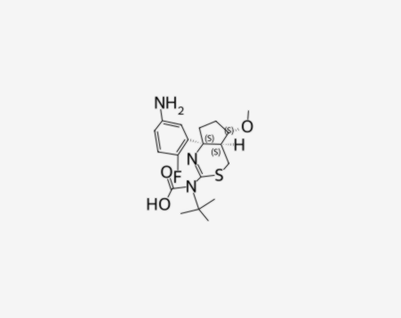 CO[C@H]1CC[C@]2(c3cc(N)ccc3F)N=C(N(C(=O)O)C(C)(C)C)SC[C@H]12